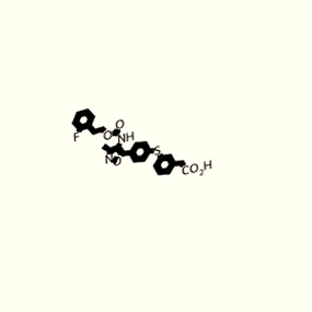 Cc1noc(-c2ccc(Sc3cccc(CC(=O)O)c3)cc2)c1NC(=O)OCCc1ccccc1F